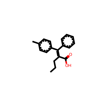 CCCC(C(=O)O)=C(c1ccccc1)c1ccc(C)cc1